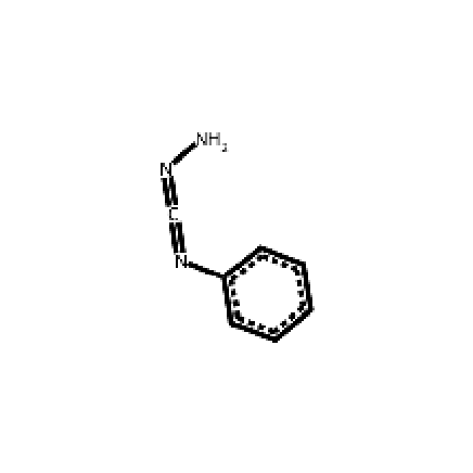 NN=C=Nc1ccccc1